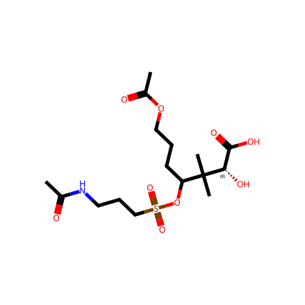 CC(=O)NCCCS(=O)(=O)OC(CCCOC(C)=O)C(C)(C)[C@@H](O)C(=O)O